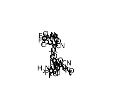 C=CC(=O)N1[C@H](C)CN(c2c(C#N)c(=O)n(-c3c(C)cc(/C=C\C(=O)N4[C@H](C)CN(c5c(C#N)c(=O)n(-c6c(C)ccnc6C(C)C)c6nc(-c7c(N)c(Cl)c(F)c(F)c7F)c(Cl)cc56)C[C@@H]4C)nc3C(C)C)c3nc(-c4c(Cl)c(N)c(F)c(F)c4Cl)c(Cl)cc23)C[C@@H]1C